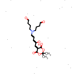 CC1(C)OC(=O)C(=C/C(O)=C/C=C/N(CCCC=O)CCCC=O)C(=O)O1